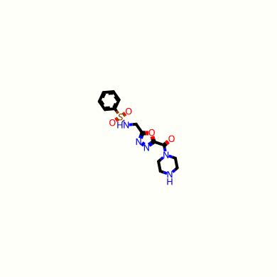 O=C(c1nnc(CNS(=O)(=O)c2ccccc2)o1)N1CCNCC1